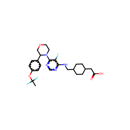 CC(F)(F)Oc1ccc(C2COCCN2c2ncnc(NCC3CCC(CC(=O)O)CC3)c2F)cc1